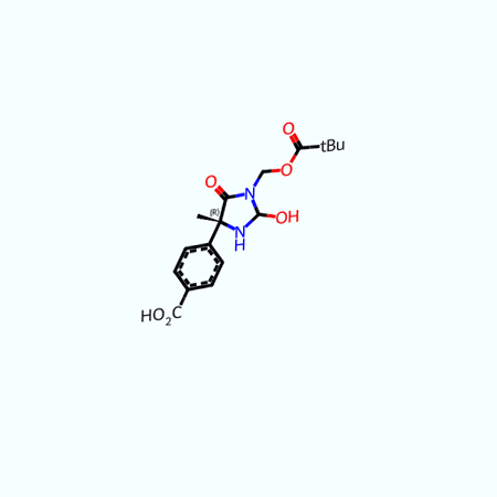 CC(C)(C)C(=O)OCN1C(=O)[C@@](C)(c2ccc(C(=O)O)cc2)NC1O